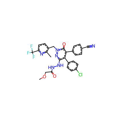 COCC(=O)NNc1nn(Cc2ccc(C(F)(F)F)nc2C)c(=O)c(-c2ccc(C#N)cc2)c1-c1ccc(Cl)cc1